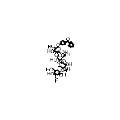 CC1OC(OC2C(CO)OC(OC3C(CO)OC(Oc4ccc(C(=O)c5ccccc5)cc4)C(O)C3O)C(O)C2O)C(O)C(O)C1NC1C=C(CO)C(O)C(O)C1O